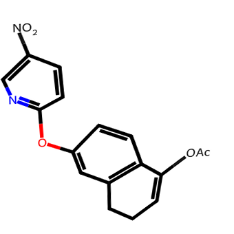 CC(=O)OC1=CCCc2cc(Oc3ccc([N+](=O)[O-])cn3)ccc21